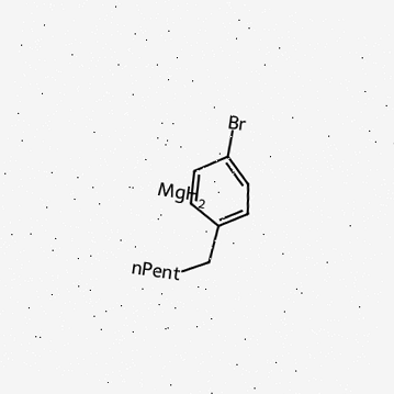 CCCCCCc1ccc(Br)cc1.[MgH2]